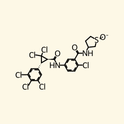 O=C(NC1CC[S+]([O-])C1)c1cc(NC(=O)[C@H]2[C@H](c3cc(Cl)c(Cl)c(Cl)c3)C2(Cl)Cl)ccc1Cl